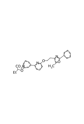 CCC(Oc1cccc(-c2cccc(OCCc3nc(-c4ccccc4)oc3C)n2)c1)C(=O)O